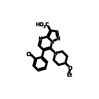 CCOC1CCN(c2c(-c3ccccc3Cl)cnc3c(C(=O)O)cnn23)CC1